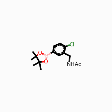 CC(=O)NCc1cc(B2OC(C)(C)C(C)(C)O2)ccc1Cl